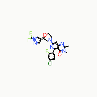 Cc1nc2cc(N3CCO[C@H](c4cnn(C(F)F)c4)C3)nc(-c3ccc(Cl)cc3F)c2c(=O)n1C